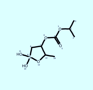 CC(C)OC(=O)OC1CS(O)(O)OC1C